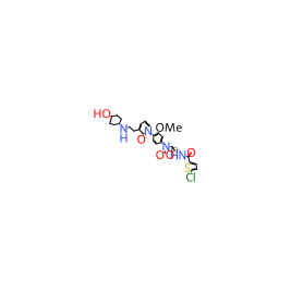 COc1cc(N2C[C@H](CNC(=O)c3ccc(Cl)s3)OC2=O)ccc1-n1cccc(CCN[C@H]2CC[C@H](O)CC2)c1=O